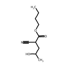 CCCCOC(=O)C(C#N)CC(C)O